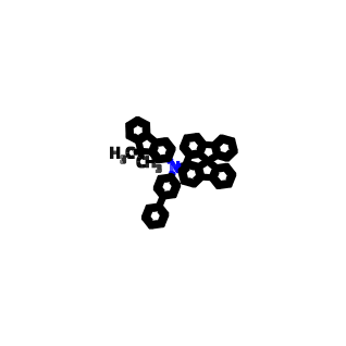 CC1(C)c2ccccc2-c2ccc(N(Cc3cccc4c3C3(c5ccccc5-c5ccccc53)c3ccccc3-4)c3ccc(-c4ccccc4)cc3)cc21